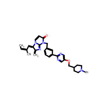 C=c1nc2n(Cc3cccc(-c4ncc(OCC5CCN(C(C)C)CC5)cn4)c3)c(=O)ccn2/c1=C/C(C#N)=C\C